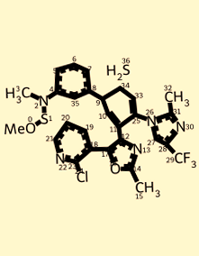 COSN(C)c1cccc(C2C=C(c3nc(C)oc3-c3cccnc3Cl)C(n3cc(C(F)(F)F)nc3C)=CC2)c1.S